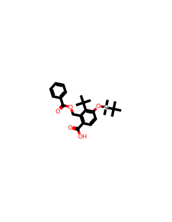 CC(C)(C)c1c(O[Si](C)(C)C(C)(C)C)ccc(C(=O)O)c1COC(=O)c1ccccc1